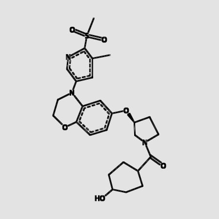 Cc1cc(N2CCOc3ccc(O[C@H]4CCN(C(=O)C5CCC(O)CC5)C4)cc32)cnc1S(C)(=O)=O